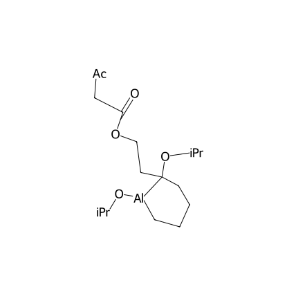 CC(=O)CC(=O)OCC[C]1(OC(C)C)CCC[CH2][Al]1[O]C(C)C